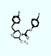 CC1COC(Cc2ccc(F)cc2)CN1C(=O)COc1ccc(F)cc1